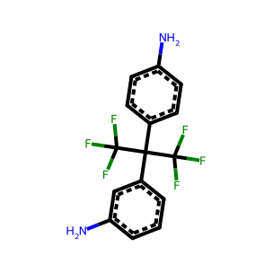 Nc1ccc(C(c2cccc(N)c2)(C(F)(F)F)C(F)(F)F)cc1